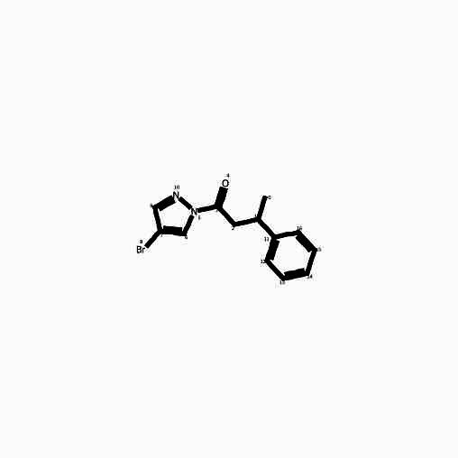 CC(CC(=O)n1cc(Br)cn1)c1ccccc1